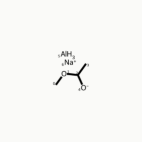 COC(C)[O-].[AlH3].[Na+]